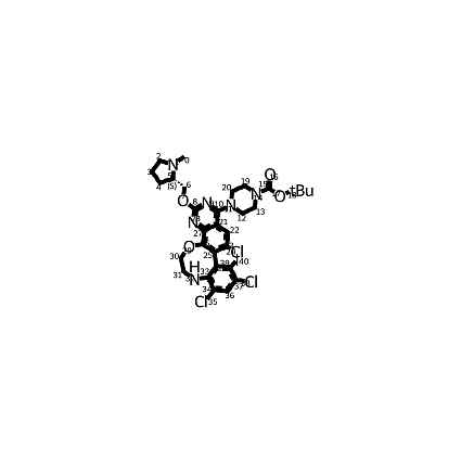 CN1CCC[C@H]1COc1nc(N2CCN(C(=O)OC(C)(C)C)CC2)c2cc(Cl)c3c(c2n1)OCCNc1c(Cl)cc(Cl)c(I)c1-3